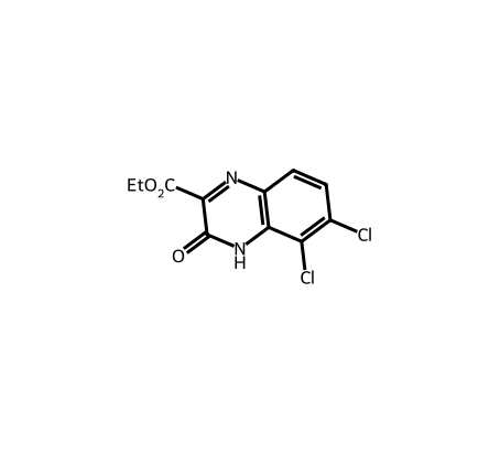 CCOC(=O)c1nc2ccc(Cl)c(Cl)c2[nH]c1=O